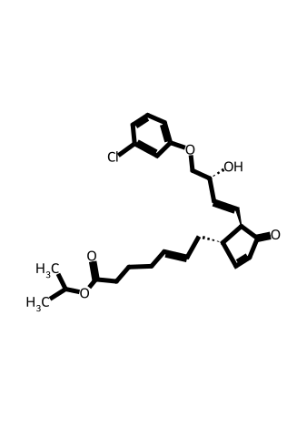 CC(C)OC(=O)CCC/C=C/C[C@H]1C=CC(=O)[C@@H]1/C=C/[C@@H](O)COc1cccc(Cl)c1